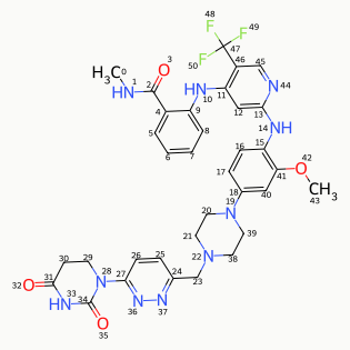 CNC(=O)c1ccccc1Nc1cc(Nc2ccc(N3CCN(Cc4ccc(N5CCC(=O)NC5=O)nn4)CC3)cc2OC)ncc1C(F)(F)F